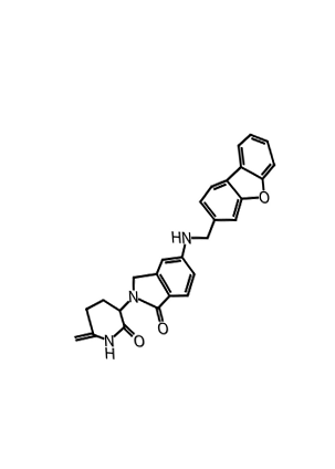 C=C1CCC(N2Cc3cc(NCc4ccc5c(c4)oc4ccccc45)ccc3C2=O)C(=O)N1